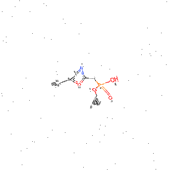 CCC(C)OP(=O)(O)Cc1ncc(C(C)(C)C)o1